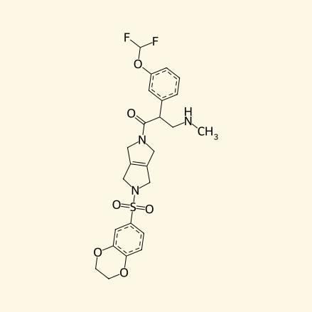 CNCC(C(=O)N1CC2=C(C1)CN(S(=O)(=O)c1ccc3c(c1)OCCO3)C2)c1cccc(OC(F)F)c1